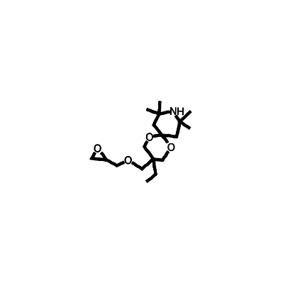 CCC1(COCC2CO2)COC2(CC(C)(C)NC(C)(C)C2)OC1